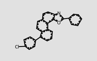 Clc1ccc(-c2cccc3c2ccc2ccc4nc(-c5ccccc5)oc4c23)cc1